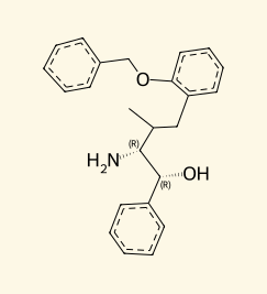 CC(Cc1ccccc1OCc1ccccc1)[C@@H](N)[C@H](O)c1ccccc1